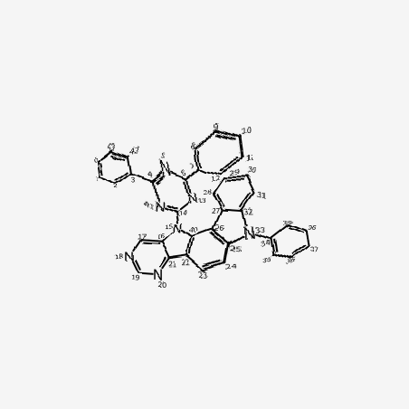 c1ccc(-c2nc(-c3ccccc3)nc(-n3c4cncnc4c4ccc5c(c6ccccc6n5-c5ccccc5)c43)n2)cc1